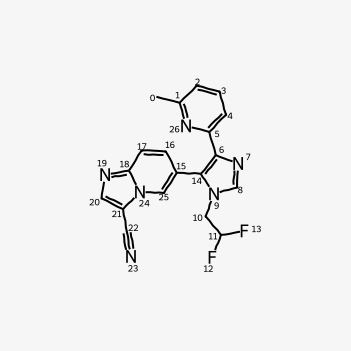 Cc1cccc(-c2ncn(CC(F)F)c2-c2ccc3ncc(C#N)n3c2)n1